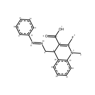 CN1C(F)=C(C(=O)O)C(CN=Nc2ccccc2)c2ccccc21